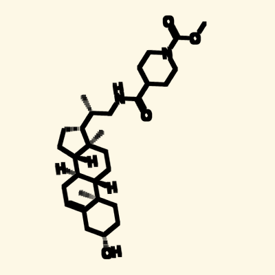 COC(=O)N1CCC(C(=O)NC[C@@H](C)[C@H]2CC[C@H]3[C@@H]4CC=C5C[C@@H](O)CC[C@]5(C)[C@H]4CC[C@]23C)CC1